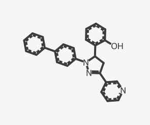 Oc1ccccc1C1CC(c2cccnc2)=NN1c1ccc(-c2ccccc2)cc1